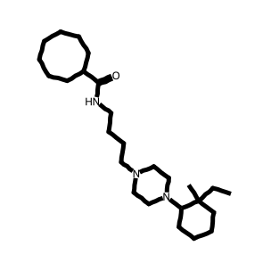 CCC1(C)CCCCC1N1CCN(CCCCNC(=O)C2CCCCCCC2)CC1